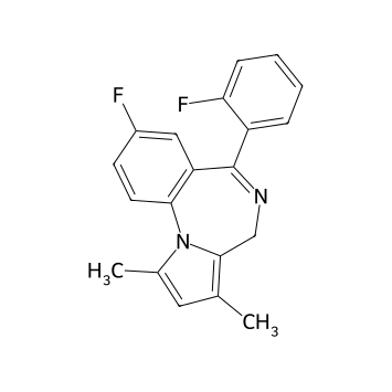 Cc1cc(C)n2c1CN=C(c1ccccc1F)c1cc(F)ccc1-2